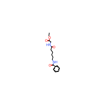 CCOC(=O)CNC(=O)CCCCCNC(=O)c1ccccc1